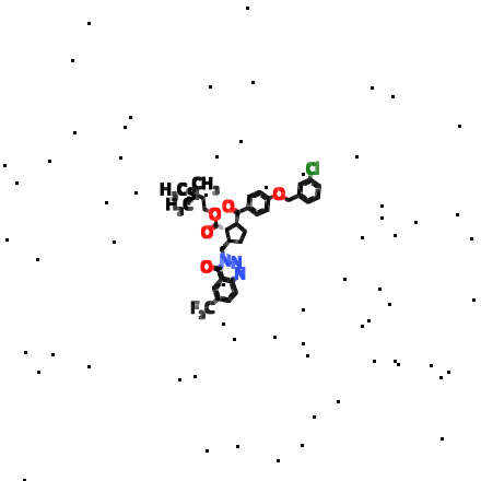 C[Si](C)(C)CCOC(=O)[C@H]1[C@H](Cn2nnc3ccc(C(F)(F)F)cc3c2=O)CC[C@@H]1C(=O)c1ccc(OCc2cccc(Cl)c2)cc1